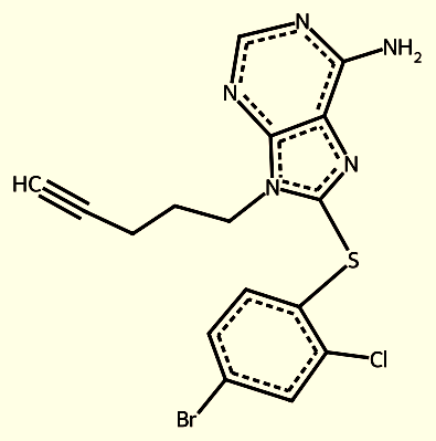 C#CCCCn1c(Sc2ccc(Br)cc2Cl)nc2c(N)ncnc21